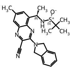 Cc1cc([C@@H](C)N[S@+]([O-])C(C)(C)C)c2nc(N3Cc4ccccc4C3)c(C#N)nc2c1